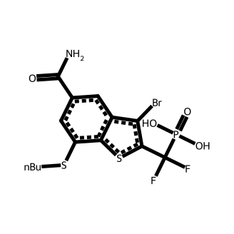 CCCCSc1cc(C(N)=O)cc2c(Br)c(C(F)(F)P(=O)(O)O)sc12